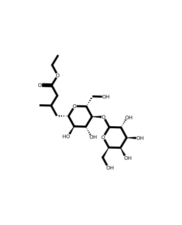 CCOC(=O)CC(C)C[C@@H]1O[C@H](CO)[C@@H](OC2O[C@H](CO)[C@H](O)[C@H](O)[C@H]2O)[C@H](O)[C@H]1O